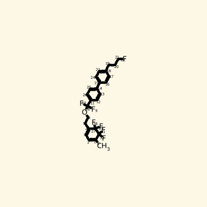 CC1=CC=C(CCOC(F)(F)c2ccc(-c3ccc(CCCF)cc3)cc2)C(F)(F)C1(F)F